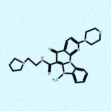 Cn1c2ccccc2n2c3nc(N4CCOCC4)ccc3c(=O)c(C(=O)NCCN3CCCC3)c12